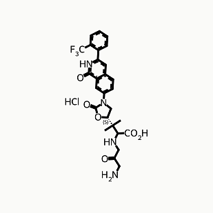 CC(C)(C(NCC(=O)CN)C(=O)O)[C@H]1CN(c2ccc3cc(-c4ccccc4C(F)(F)F)[nH]c(=O)c3c2)C(=O)O1.Cl